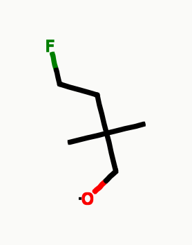 CC(C)(C[O])CCF